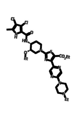 CCOC(=O)c1sc(N2CC[C@@H](NC(=O)c3[nH]c(C)c(Cl)c3Cl)[C@@H](OCC)C2)nc1-c1cnc(N2CCN(CC)CC2)cn1